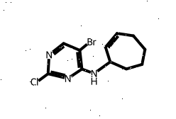 Clc1ncc(Br)c(NC2C=CCCCC2)n1